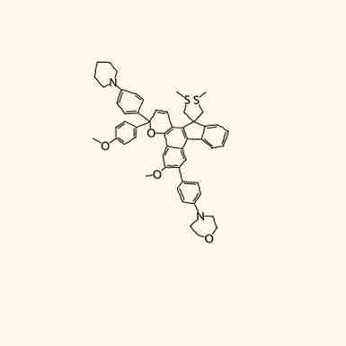 COc1ccc(C2(c3ccc(N4CCCCC4)cc3)C=Cc3c4c(c5cc(-c6ccc(N7CCOCC7)cc6)c(OC)cc5c3O2)-c2ccccc2C4(CSC)CSC)cc1